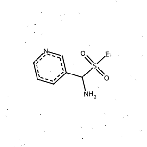 CCS(=O)(=O)C(N)c1cccnc1